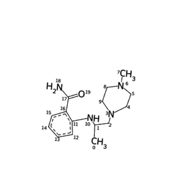 CC(CN1CCN(C)CC1)Nc1ccccc1C(N)=O